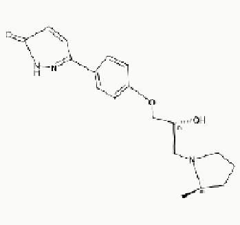 C[C@@H]1CCCN1C[C@@H](O)COc1ccc(-c2ccc(=O)[nH]n2)cc1